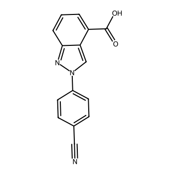 N#Cc1ccc(-n2cc3c(C(=O)O)cccc3n2)cc1